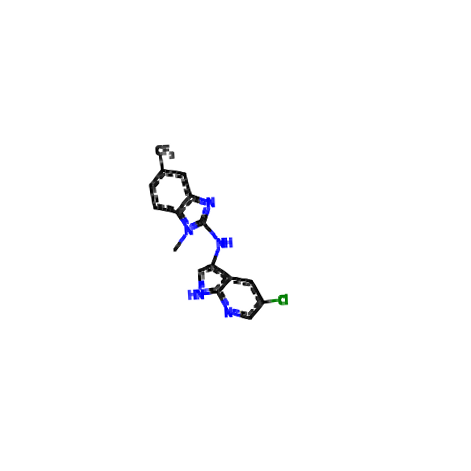 Cn1c(Nc2c[nH]c3ncc(Cl)cc23)nc2cc(C(F)(F)F)ccc21